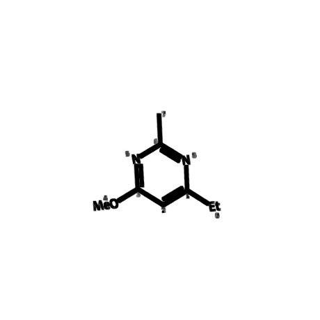 CCc1cc(OC)nc(C)n1